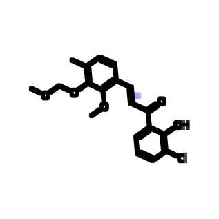 COCOc1c(C)ccc(/C=C/C(=O)c2cccc(Cl)c2O)c1OC